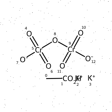 CC(=O)O.[K+].[K+].[O]=[Cr](=[O])([O-])[O][Cr](=[O])(=[O])[O-]